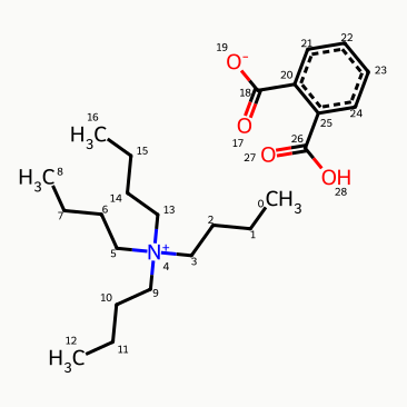 CCCC[N+](CCCC)(CCCC)CCCC.O=C([O-])c1ccccc1C(=O)O